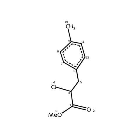 COC(=O)C(Cl)Cc1ccc(C)cc1